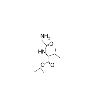 CC(C)OC(=O)[C@@H](NC(=O)CN)C(C)C